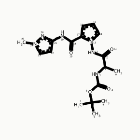 CC(NC(=O)OC(C)(C)C)C(=O)Nn1cccc1C(=O)Nc1ccn(C)n1